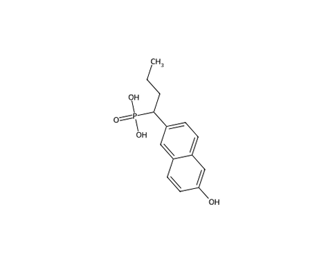 CCCC(c1ccc2cc(O)ccc2c1)P(=O)(O)O